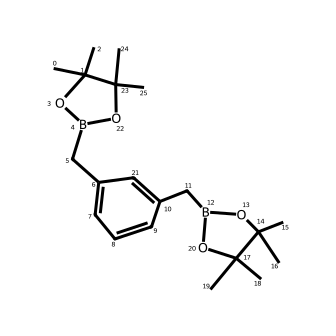 CC1(C)OB(Cc2cccc(CB3OC(C)(C)C(C)(C)O3)c2)OC1(C)C